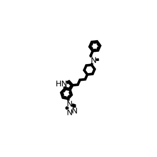 CN(Cc1ccccc1)C1CCC(CCCc2c[nH]c3ccc(-n4cnnc4)cc23)CC1